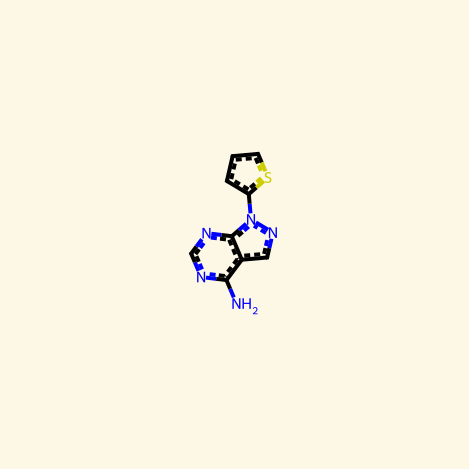 Nc1ncnc2c1cnn2-c1cccs1